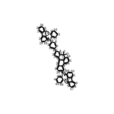 CC1(C)c2cc(-c3ccc(N(c4ccccc4)c4cccc5c4oc4ccccc45)cc3)ccc2-c2cc3ccc(N(c4ccccc4)c4cccc5c4oc4ccccc45)cc3c3cccc1c23